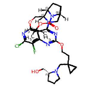 CC(C)(C)OC(=O)N1[C@@H]2CC[C@H]1[C@H]1COc3nc(Cl)c(F)c4nc(OCCC5(CN6CCC[C@@H]6CO)CC5)nc(c34)N1C2